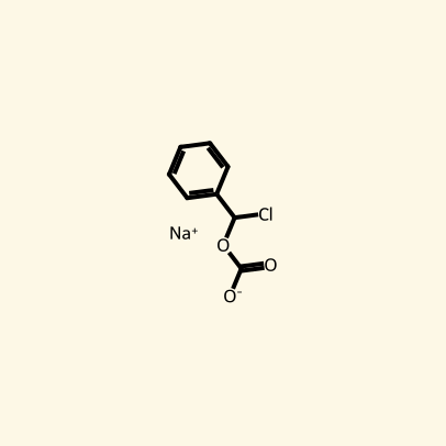 O=C([O-])OC(Cl)c1ccccc1.[Na+]